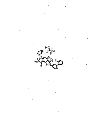 C=CC(=O)Nc1cc2c(Nc3ccnc(-c4ccccc4F)c3)ncnc2cc1O[C@@H]1CCNC1.O=C(O)C(F)(F)F